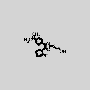 CN(C)c1ccc(-c2nc(SCCO)oc2-c2ccccc2Cl)cc1